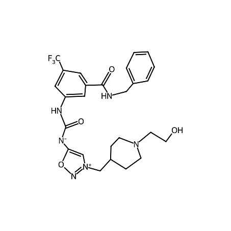 O=C([N-]c1c[n+](CC2CCN(CCO)CC2)no1)Nc1cc(C(=O)NCc2ccccc2)cc(C(F)(F)F)c1